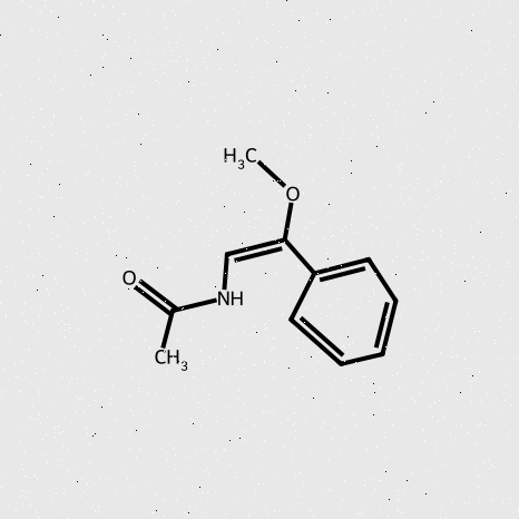 CO/C(=C/NC(C)=O)c1ccccc1